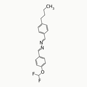 CCCCc1ccc(C=NN=Cc2ccc(OC(F)F)cc2)cc1